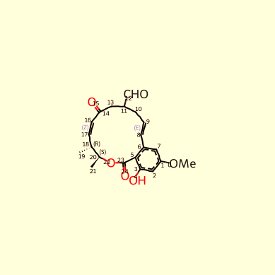 COc1cc(O)c2c(c1)/C=C/CC(C=O)CC(=O)/C=C\[C@@H](C)[C@H](C)OC2=O